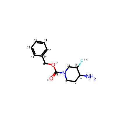 NC1CCN(C(=O)OCc2ccccc2)CC1F